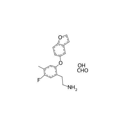 Cc1cc(Oc2ccc3occc3c2)c(CCN)cc1F.O=CO